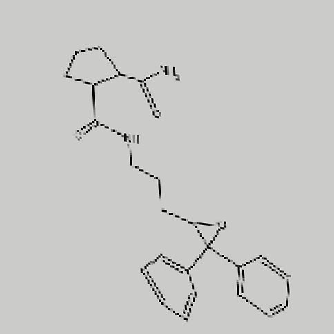 NC(=O)C1CCCC1C(=O)NCCCC1OC1(c1ccccc1)c1ccccc1